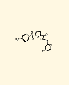 Cc1ccc(S(=O)(=O)c2ccc(C(=O)NCc3cc(F)ccn3)o2)cc1